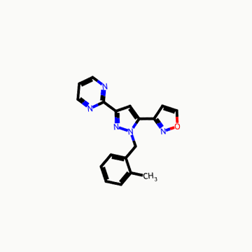 Cc1ccccc1Cn1nc(-c2ncccn2)cc1-c1ccon1